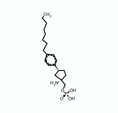 CCCCCCCCc1ccc([C@H]2CC[C@@](N)(COP(=O)(O)O)C2)cc1